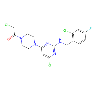 O=C(CCl)N1CCN(c2cc(Cl)nc(NCc3ccc(F)cc3Cl)n2)CC1